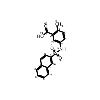 Cc1ccc(NS(=O)(=O)c2ccc3ccccc3c2)cc1C(=O)O